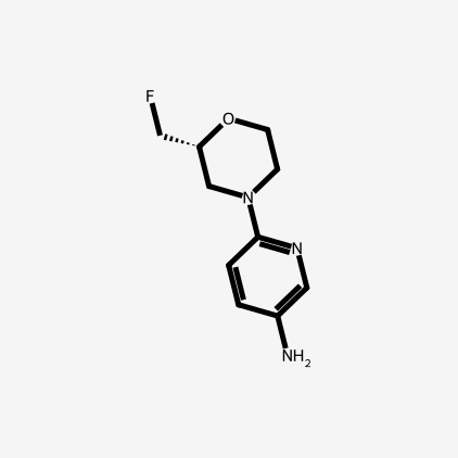 Nc1ccc(N2CCO[C@@H](CF)C2)nc1